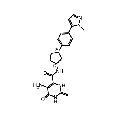 C=C1NC(=O)C(N)=C(C(=O)N[C@H]2CC[C@@H](c3ccc(-c4ccnn4C)cc3)C2)N1